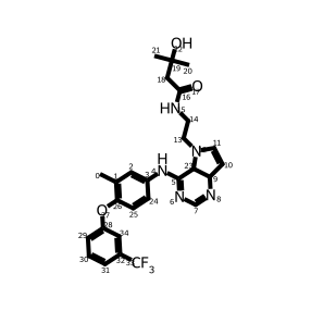 Cc1cc(NC2=NC=NC3C=CN(CCNC(=O)CC(C)(C)O)C23)ccc1Oc1cccc(C(F)(F)F)c1